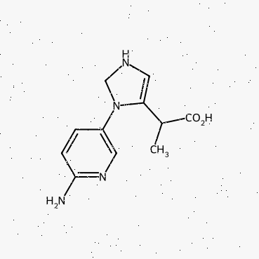 CC(C(=O)O)C1=CNCN1c1ccc(N)nc1